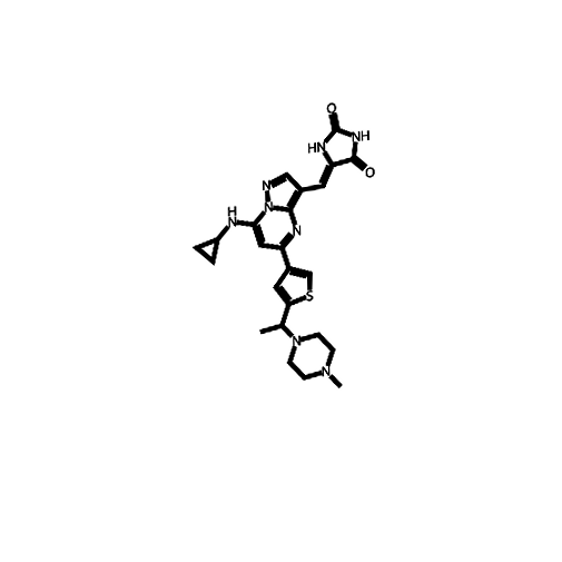 CC(c1cc(-c2cc(NC3CC3)n3ncc(/C=C4\NC(=O)NC4=O)c3n2)cs1)N1CCN(C)CC1